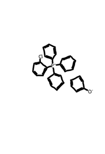 Clc1ccccc1[P+](c1ccccc1)(c1ccccc1)c1ccccc1.[O-]c1ccccc1